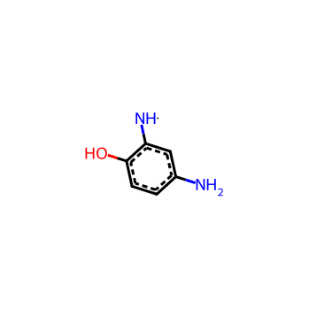 [NH]c1cc(N)ccc1O